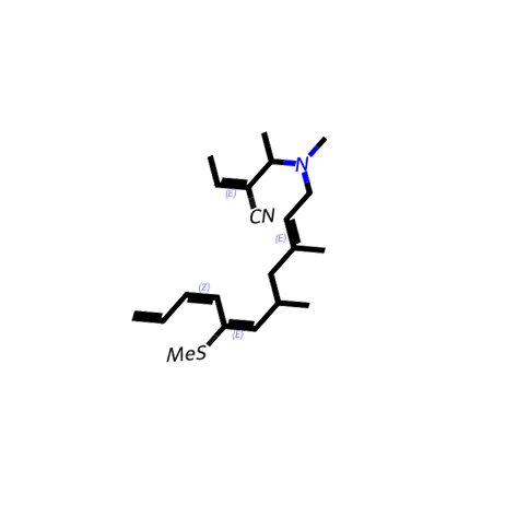 C=C/C=C\C(=C/C(C)C/C(C)=C/CN(C)C(C)/C(C#N)=C\C)SC